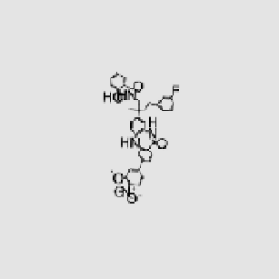 COc1cc(-c2ccc3c(c2)Nc2ccc(C(C)(CCc4cccc(F)c4)CNC(=O)c4ccccc4O)cc2NC3=O)ccc1[N+](=O)[O-]